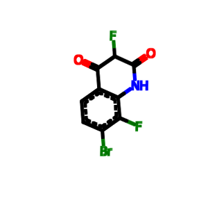 O=C1Nc2c(ccc(Br)c2F)C(=O)C1F